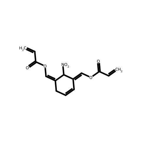 C=CC(=O)OC=C1C=CCC(=COC(=O)C=C)C1[N+](=O)[O-]